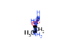 CC1C[C@@H](N(C)Cc2ccc(-n3ccc(NC(=O)N4CCNCC4)nc3=O)cc2)CCC1N